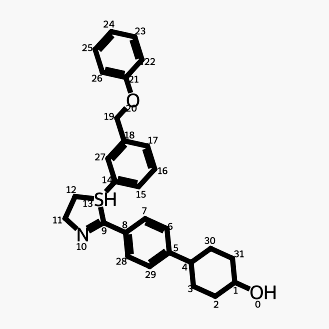 OC1CCC(c2ccc(C3=NCC[SH]3c3cccc(COc4[c]cccc4)c3)cc2)CC1